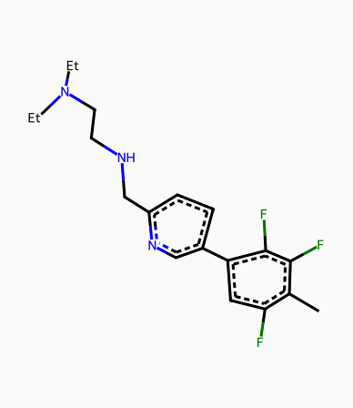 CCN(CC)CCNCc1ccc(-c2cc(F)c(C)c(F)c2F)cn1